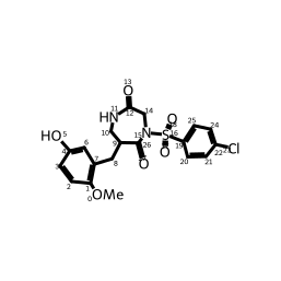 COc1ccc(O)cc1CC1CNC(=O)CN(S(=O)(=O)c2ccc(Cl)cc2)C1=O